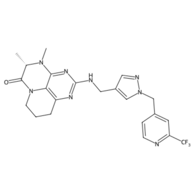 C[C@H]1C(=O)N2CCCc3nc(NCc4cnn(Cc5ccnc(C(F)(F)F)c5)c4)nc(c32)N1C